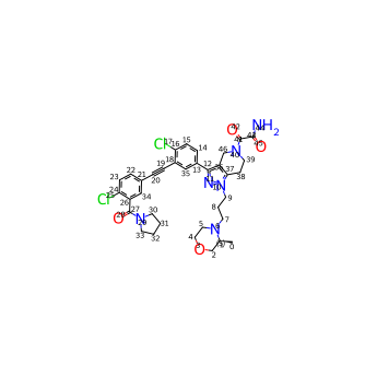 C[C@H]1COCCN1CCCn1nc(-c2ccc(Cl)c(C#Cc3ccc(Cl)c(C(=O)N4CCCC4)c3)c2)c2c1CCN(C(=O)C(N)=O)C2